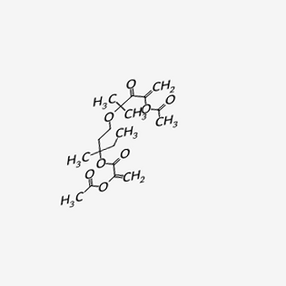 C=C(OC(C)=O)C(=O)OC(C)(CC)CCOC(C)(C)C(=O)C(=C)OC(C)=O